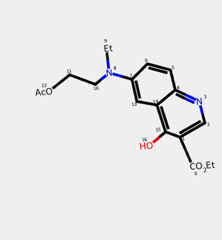 CCOC(=O)c1cnc2ccc(N(CC)CCOC(C)=O)cc2c1O